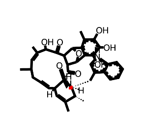 CC1=C[C@@H]2/C=C/CC(C)/C=C(/C)C(O)C(=O)C3C4OC(c5c(O)c(O)c(O)c(C)c54)C3C(=O)[C@]23C(=O)N[C@@H](Cc2c[nH]c4ccccc24)[C@@H]3[C@@H]1C